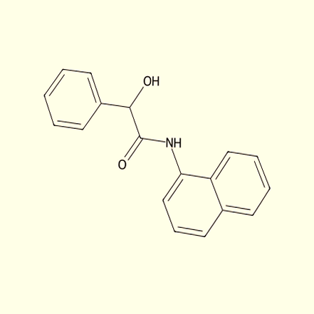 O=C(Nc1cccc2ccccc12)C(O)c1ccccc1